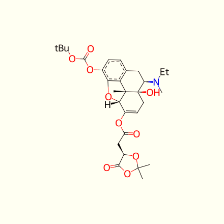 CCN(C)[C@@H]1Cc2ccc(OC(=O)OC(C)(C)C)c3c2[C@@]2(C)[C@@H](O3)C(OC(=O)C[C@H]3OC(C)(C)OC3=O)=CC[C@@]12O